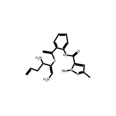 C=CCC(N)/C(=C\N)SC(=C)c1ccccc1NC(=O)c1cc(C)nn1C(C)(C)C